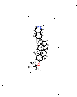 CC(C)(C)O[C@H]1CC[C@@]2(C)[C@@H](CC[C@@H]3[C@@H]2CC[C@]2(C)C(c4ccc5ccncc5c4)=CC[C@@H]32)C1